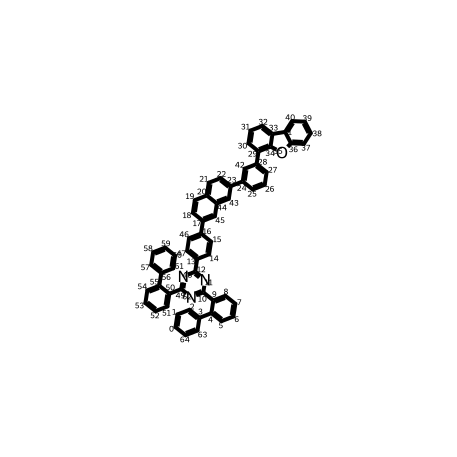 c1ccc(-c2ccccc2-c2nc(-c3ccc(-c4ccc5ccc(-c6cccc(-c7cccc8c7oc7ccccc78)c6)cc5c4)cc3)nc(-c3ccccc3-c3ccccc3)n2)cc1